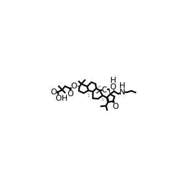 CCCNC[C@@H](O)[C@@]12CC[C@]3(C)[C@](C)(CCC4[C@@]5(C)CC[C@H](OC(=O)CC(C)(C)C(=O)O)C(C)(C)C5CC[C@]43C)C1=C(C(C)C)C(=O)C2